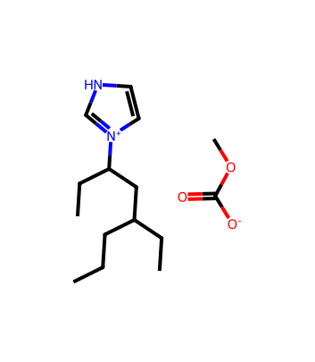 CCCC(CC)CC(CC)[n+]1cc[nH]c1.COC(=O)[O-]